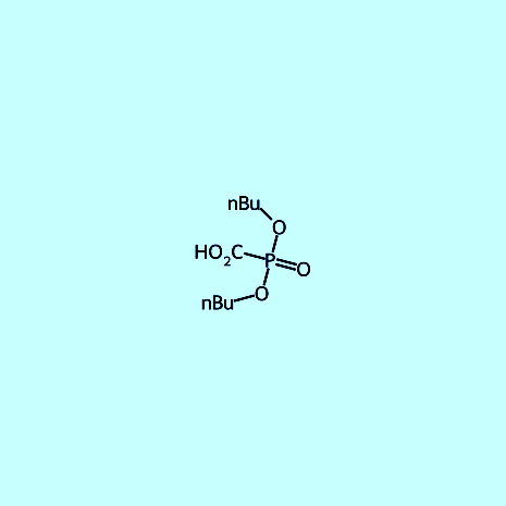 CCCCOP(=O)(OCCCC)C(=O)O